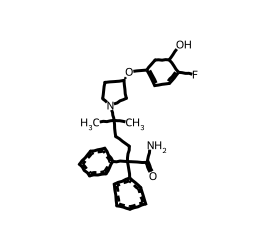 CC(C)(CCC(C(N)=O)(c1ccccc1)c1ccccc1)N1CC[C@H](OC2=CC=C(F)C(O)C2)C1